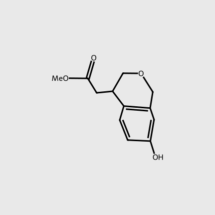 COC(=O)CC1COCc2cc(O)ccc21